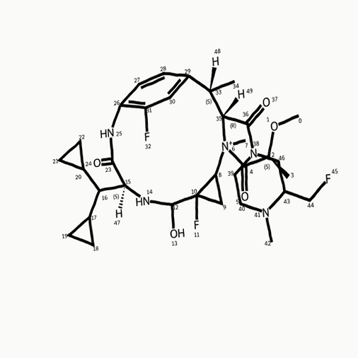 CO[C@@H](C)C(=O)[N+]1(C)C2CC2(F)C(O)N[C@@H](C(C2CC2)C2CC2)C(=O)Nc2ccc(cc2F)[C@H](C)[C@@H]1C(=O)N1CCN(C)C(CF)C1